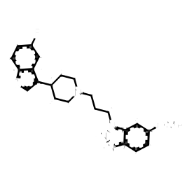 COc1ccc2nnn(CCCN3CCC(c4coc5ccc(F)cc45)CC3)c2c1